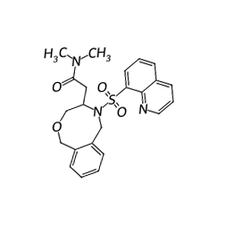 CN(C)C(=O)CC1COCc2ccccc2CN1S(=O)(=O)c1cccc2cccnc12